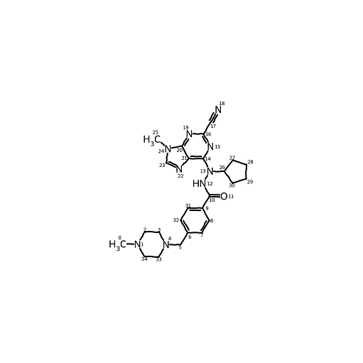 CN1CCN(Cc2ccc(C(=O)NN(c3nc(C#N)nc4c3ncn4C)C3CCCC3)cc2)CC1